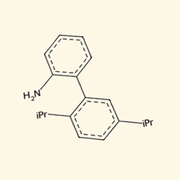 CC(C)c1ccc(C(C)C)c(-c2ccccc2N)c1